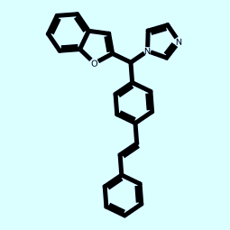 C(=Cc1ccc(C(c2cc3ccccc3o2)n2ccnc2)cc1)c1ccccc1